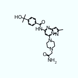 Cc1cc2nc(NC(=O)c3ccc(C(C)(C)O)cc3)cc(N3CCN(CC(N)=O)CC3)n2n1